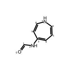 O=CNC1=CC=CNC=C1